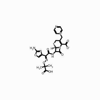 CC(C)(ON=C(C(=O)NC1C(=O)N2C(C(=O)[O-])=C(C[n+]3ccncc3)CS[C@@H]12)c1coc(N)n1)C(=O)O